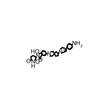 Nc1ccc(N2CCN(C3CCC4(CCN(c5ccc6c(c5)C(=O)N(C5CCC(=O)NC5=O)C6O)CC4)C3)CC2)cc1